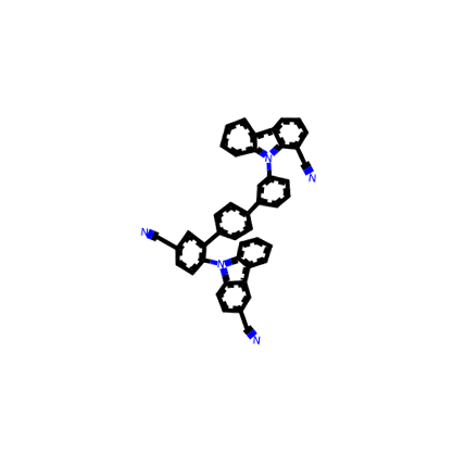 N#Cc1ccc(-n2c3ccccc3c3cc(C#N)ccc32)c(-c2ccc(-c3cccc(-n4c5ccccc5c5cccc(C#N)c54)c3)cc2)c1